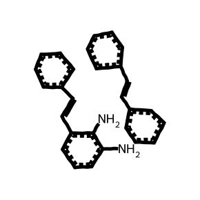 C(=Cc1ccccc1)c1ccccc1.Nc1cccc(C=Cc2ccccc2)c1N